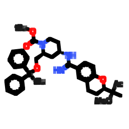 CO[C@](C)(C(C)=O)[C@H]1CCc2cc(C(=N)N[C@H]3CCN(C(=O)OC(C)(C)C)[C@H](CO[Si](c4ccccc4)(c4ccccc4)C(C)(C)C)C3)ccc2O1